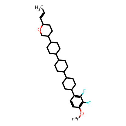 C/C=C/C1CCC(C2CCC(C3CCC(C4CCC(c5ccc(OCCC)c(F)c5F)CC4)CC3)CC2)CO1